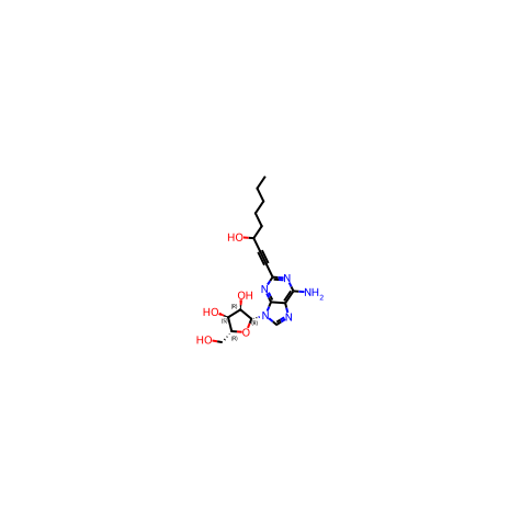 CCCCCC(O)C#Cc1nc(N)c2ncn([C@@H]3O[C@H](CO)[C@@H](O)[C@H]3O)c2n1